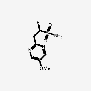 CCC(Cc1ncc(OC)cn1)S(N)(=O)=O